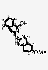 COc1ccc2nc(Nc3nc(O)c4cccc(C)c4n3)ncc2c1